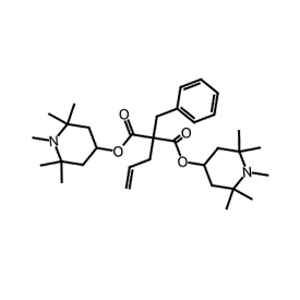 C=CCC(Cc1ccccc1)(C(=O)OC1CC(C)(C)N(C)C(C)(C)C1)C(=O)OC1CC(C)(C)N(C)C(C)(C)C1